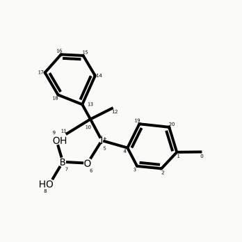 Cc1ccc([I+](OB(O)O)C(C)(C)c2ccccc2)cc1